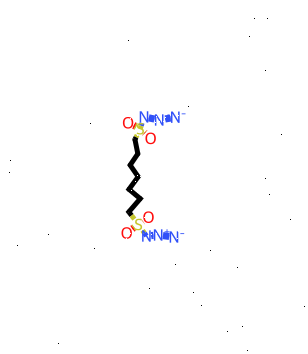 [N-]=[N+]=NS(=O)(=O)CCCCCCCS(=O)(=O)N=[N+]=[N-]